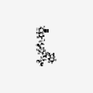 COC(=O)CCC(C1CCN(C(=O)CCCc2ccc3c(n2)NCCC3)CC1)C1CNc2ccccc2C1